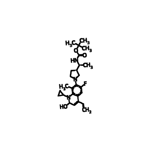 C=CC1=CC(O)N(C2CC2)c2c1cc(F)c(N1CC[C@@H]([C@H](C)NC(=O)OC(C)(C)C)C1)c2C